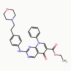 CCOC(=O)c1cn(-c2ccccc2)c2nc(Nc3ccc(CCN4CCOCC4)cc3)ncc2c1=O